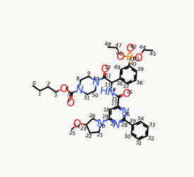 CCCCOC(=O)N1CCN(C(=O)C(NC(=O)c2cc(N3CCC(OC)C3)nc(-c3ccccc3)n2)c2cccc(P(=O)(OCC)OCC)c2)CC1